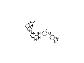 C=CC(=O)N1CCC2CN(c3ccc4ncnc(Nc5ccc(Oc6ccc7c(c6)ncn7C)c(C)c5)c4n3)C[C@H]21